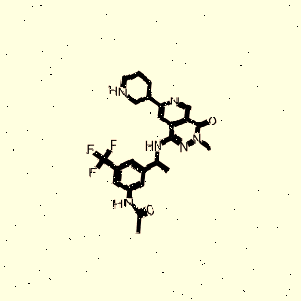 CC(=O)Nc1cc(C(C)Nc2nn(C)c(=O)c3cnc(C4CCCNC4)cc23)cc(C(F)(F)F)c1